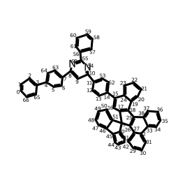 c1ccc(-c2ccc(-c3cc(-c4ccc(-c5cc6c(c7ccccc57)-c5c(c7ccccc7c7ccccc57)C65c6ccccc6-c6ccccc65)cc4)nc(-c4ccccc4)n3)cc2)cc1